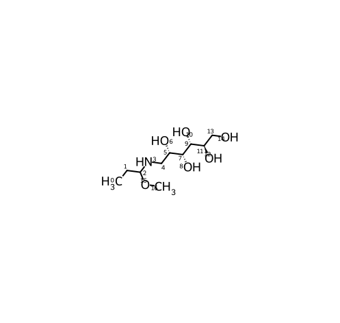 CCC(NC[C@H](O)[C@@H](O)[C@H](O)[C@H](O)CO)OC